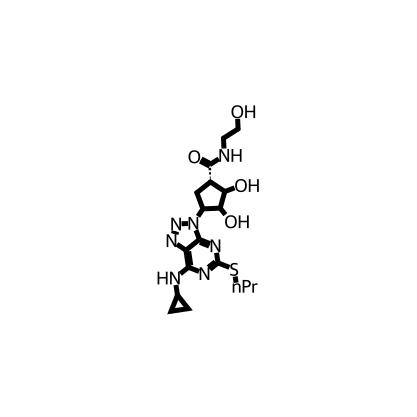 CCCSc1nc(NC2CC2)c2nnn(C3C[C@H](C(=O)NCCO)C(O)C3O)c2n1